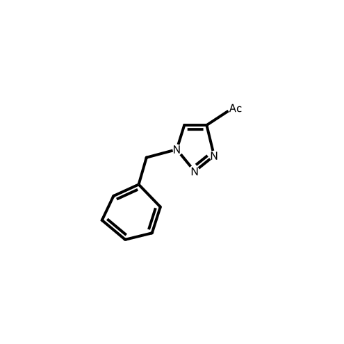 CC(=O)c1cn(Cc2ccccc2)nn1